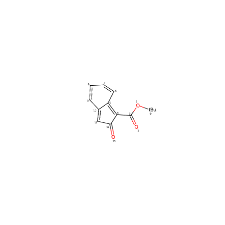 CC(C)(C)OC(=O)C1=c2ccccc2=CC1=O